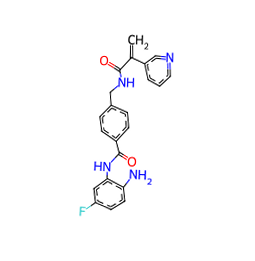 C=C(C(=O)NCc1ccc(C(=O)Nc2cc(F)ccc2N)cc1)c1cccnc1